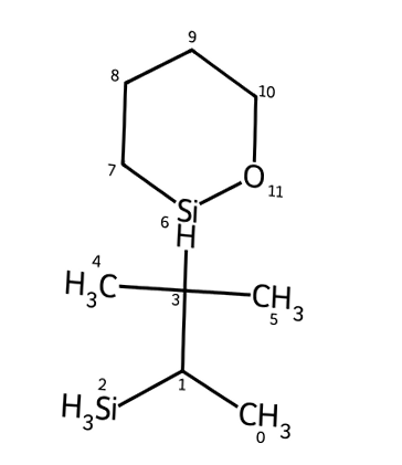 CC([SiH3])C(C)(C)[SiH]1CCCCO1